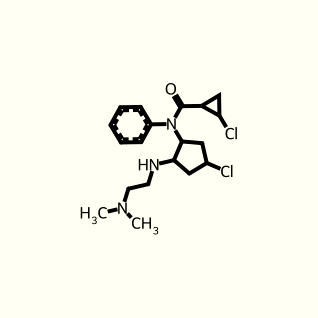 CN(C)CCNC1CC(Cl)CC1N(C(=O)C1CC1Cl)c1ccccc1